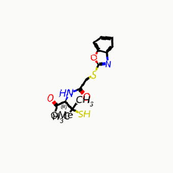 COC(=O)[C@@H](NC(=O)CSc1nc2ccccc2o1)C(C)(C)S